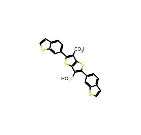 O=C(O)c1c(-c2ccc3ccsc3c2)sc2c(C(=O)O)c(-c3ccc4ccsc4c3)sc12